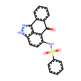 O=C1c2ccccc2-c2n[nH]c3ccc(NS(=O)(=O)c4ccccc4)c1c23